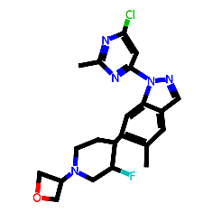 Cc1nc(Cl)cc(-n2ncc3cc(C)c(C4CCN(C5COC5)CC4F)cc32)n1